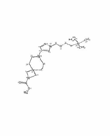 CC(C)(C)OC(=O)N1CC2(CCN(c3cnn(COCC[Si](C)(C)C)c3)CC2)C1